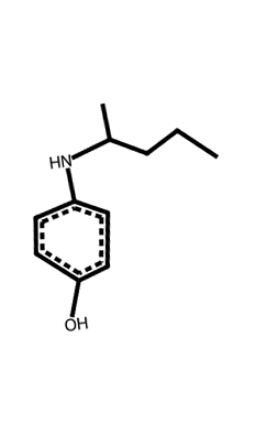 CCCC(C)Nc1ccc(O)cc1